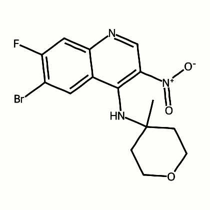 CC1(Nc2c([N+](=O)[O-])cnc3cc(F)c(Br)cc23)CCOCC1